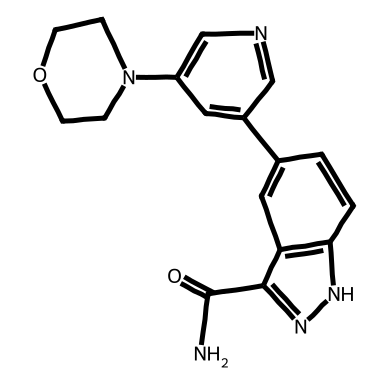 NC(=O)c1n[nH]c2ccc(-c3cncc(N4CCOCC4)c3)cc12